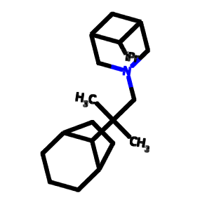 CC(C)C1C2CC1CN(CC(C)(C)C1C3CCCC1CC3)C2